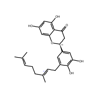 CC(C)=CCC/C(C)=C/Cc1cc([C@@H]2CC(=O)c3c(O)cc(O)cc3O2)cc(O)c1O